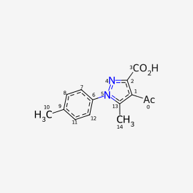 CC(=O)c1c(C(=O)O)nn(-c2ccc(C)cc2)c1C